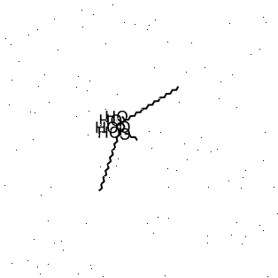 CCCCCCCCCCCCCCCCCCC(O)[C@H]1O[C@H](OCCCC)[C@@](O)(CCCCCCCCCCCCCCCCCC)[C@@H](O)[C@@H]1O